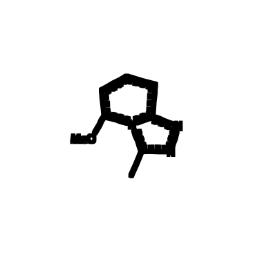 COc1cccc2nnc(C)n12